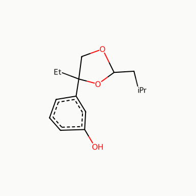 CCC1(c2cccc(O)c2)COC(CC(C)C)O1